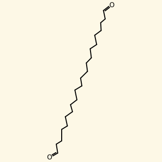 O=CCCCCCCCCCCCCCCCCCCCCC=O